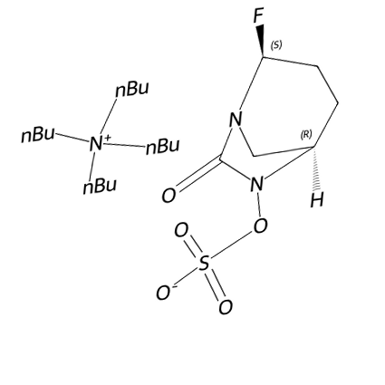 CCCC[N+](CCCC)(CCCC)CCCC.O=C1N2C[C@@H](CC[C@@H]2F)N1OS(=O)(=O)[O-]